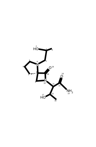 CC(O)CN1CCC[C@]12CN(C(C(N)=O)C(C)O)C2=O